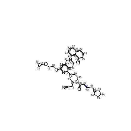 N#CC[C@H]1CN(c2nc(OCCOC3CC3)nc3c2CCN(c2cncc4cccc(Cl)c24)C3)CCN1C(=O)/C=C/CN1CCCC1